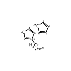 Cc1cc[cH-]c1.[Fe+2].c1cc[cH-]c1